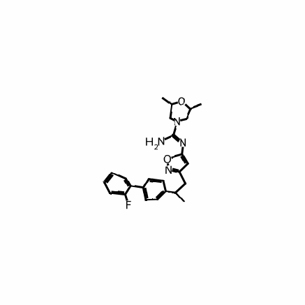 CC1CN(C(N)=Nc2cc(CC(C)c3ccc(-c4ccccc4F)cc3)no2)CC(C)O1